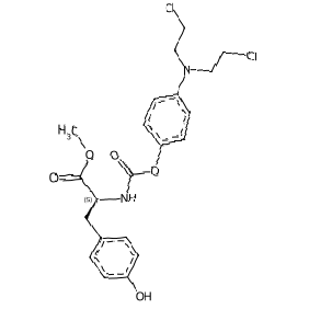 COC(=O)[C@H](Cc1ccc(O)cc1)NC(=O)Oc1ccc(N(CCCl)CCCl)cc1